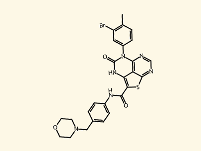 Cc1ccc(N2C(=O)Nc3c(C(=O)Nc4ccc(CN5CCOCC5)cc4)sc4ncnc2c34)cc1Br